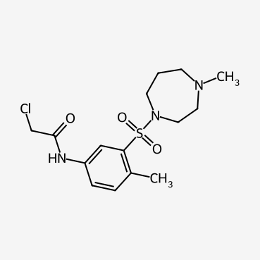 Cc1ccc(NC(=O)CCl)cc1S(=O)(=O)N1CCCN(C)CC1